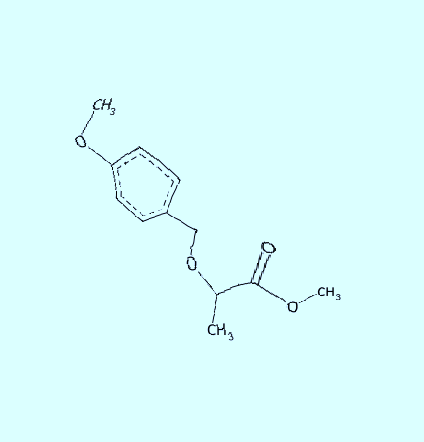 COC(=O)C(C)OCc1ccc(OC)cc1